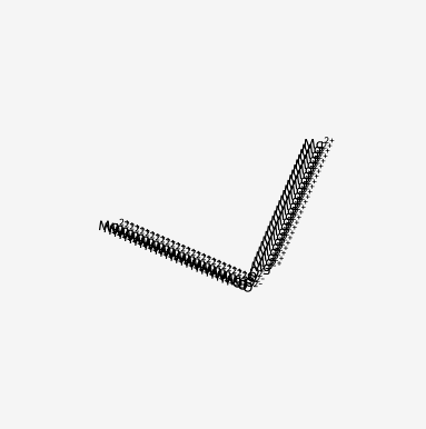 [Mg+2].[Mg+2].[Mg+2].[Mg+2].[Mg+2].[Mg+2].[Mg+2].[Mg+2].[Mg+2].[Mg+2].[Mg+2].[Mg+2].[Mg+2].[Mg+2].[Mg+2].[Mg+2].[Mg+2].[Mg+2].[Mg+2].[Mg+2].[Mg+2].[Mg+2].[Mg+2].[Mg+2].[Mg+2].[Mg+2].[Mg+2].[Mg+2].[Mg+2].[Mg+2].[Mg+2].[Mg+2].[Mg+2].[Mg+2].[Mg+2].[Mg+2].[Mg+2].[Mg+2].[Mg+2].[Mg+2].[Mg+2].[Mg+2].[Mg+2].[Mg+2].[Mg+2].[Mg+2].[Mg+2].[Mg+2].[Mg+2].[Mg+2].[Mg+2].[O-2].[O-2].[O-2].[O-2].[O-2].[O-2]